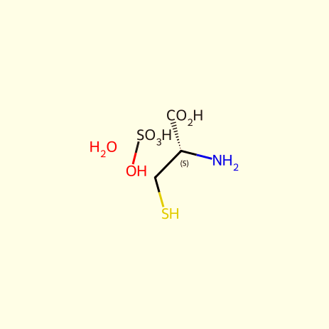 N[C@H](CS)C(=O)O.O.O=S(=O)(O)O